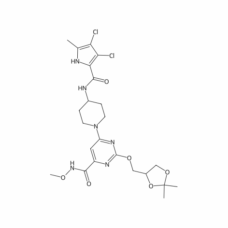 CONC(=O)c1cc(N2CCC(NC(=O)c3[nH]c(C)c(Cl)c3Cl)CC2)nc(OCC2COC(C)(C)O2)n1